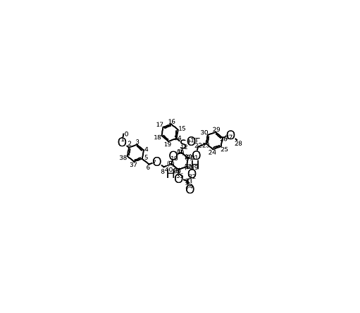 COc1ccc(COC[C@H]2O[C@H]([S+]([O-])c3ccccc3)[C@H](OCc3ccc(OC)cc3)[C@H]3OC(=O)O[C@H]32)cc1